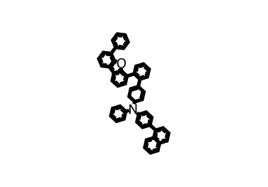 C1=CC(N(c2ccccc2)c2ccc(-c3cccc4ccccc34)cc2)CC=C1c1ccccc1-c1cccc2c1oc1c(-c3ccccc3)cccc12